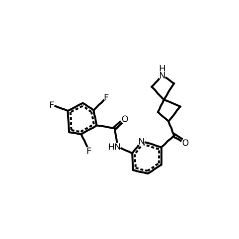 O=C(Nc1cccc(C(=O)C2CC3(CNC3)C2)n1)c1c(F)cc(F)cc1F